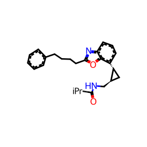 CC(C)C(=O)NC[C@@H]1C[C@H]1c1cccc2nc(CCCCc3ccccc3)oc12